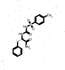 Cc1ccc(S(=O)(=O)NC(=O)N[C@@H](Cc2ccccc2)C(N)=O)cc1